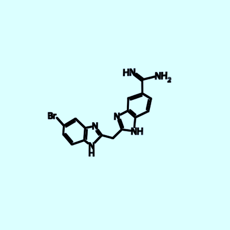 N=C(N)c1ccc2[nH]c(Cc3nc4cc(Br)ccc4[nH]3)nc2c1